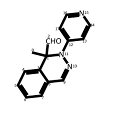 CC1(C=O)c2ccccc2C=NN1c1ccncc1